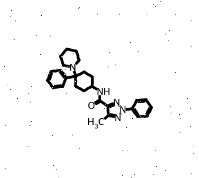 Cc1nn(-c2ccccc2)nc1C(=O)NC1CCC(c2ccccc2)(N2CCCCC2)CC1